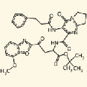 COc1cccc2nc(C(=O)CC(NC(=O)c3nc4n(c(=O)c3NC(=O)CCc3ccccc3)CCC4)C(=O)OC(C)(C)C)oc12